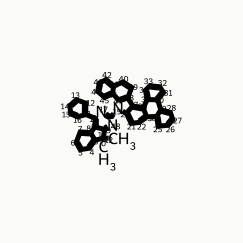 CC1(C)c2ccccc2-c2c(-c3ccccc3)nc(-n3c4ccc5c6ccccc6c6ccccc6c5c4c4ccc5ccccc5c43)nc21